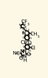 Cc1cc(-c2ccc(C(F)(F)F)s2)nc2ccc(Oc3c(Cl)cc(-n4nc(C#N)c(=O)[nH]c4=O)cc3Cl)cc12